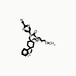 CC[C@]1(CN(C(=O)NCCCOC)c2cnc(C#N)nc2)CC[C@@](CC)(c2ccccc2)CC1